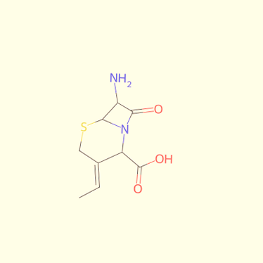 CC=C1CSC2C(N)C(=O)N2C1C(=O)O